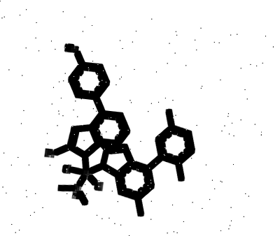 CC1=Cc2c(-c3cc(C)ccc3C)cc(C)cc2[CH]1[Zr]([Cl])([Cl])([CH]1C(C(C)C)=Cc2c(-c3ccc(C(C)(C)C)cc3)cccc21)[SiH](C)C